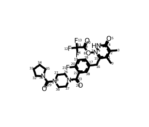 Cc1c(C)c(=O)[nH][n+](OC(=O)C(F)(F)F)c1Cc1ccc(F)c(C(=O)N2CCN(C(=O)N3CCCC3)CC2)c1